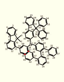 CC1(C)c2ccccc2-c2cccc(-c3cccc(N(c4ccc(-c5ccccc5)c(-c5ccccc5-c5ccccc5)c4)c4ccc5c(c4)C(c4ccccc4)(c4ccccc4)c4ccccc4-5)c3)c21